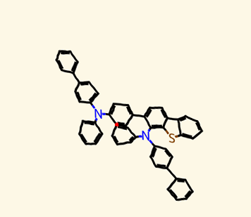 c1ccc(-c2ccc(N(c3ccccc3)c3ccc(-c4ccc5c(sc6ccccc65)c4N(c4ccccc4)c4ccc(-c5ccccc5)cc4)cc3)cc2)cc1